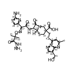 Cc1cc(SCC2(C(=O)O)CS[C@@H]3C(NC(=O)C(=NOC(C)(C)C(=O)NN)c4csc(N)n4)C(=O)N3C2)n2ncc(CO)c2n1